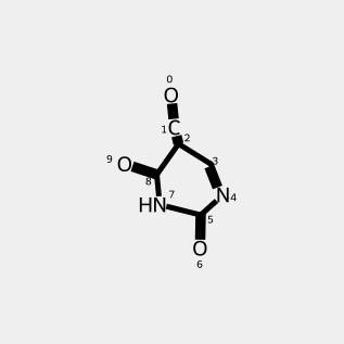 O=C=C1C=NC(=O)NC1=O